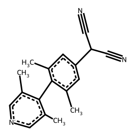 Cc1cncc(C)c1-c1c(C)cc(C(C#N)C#N)cc1C